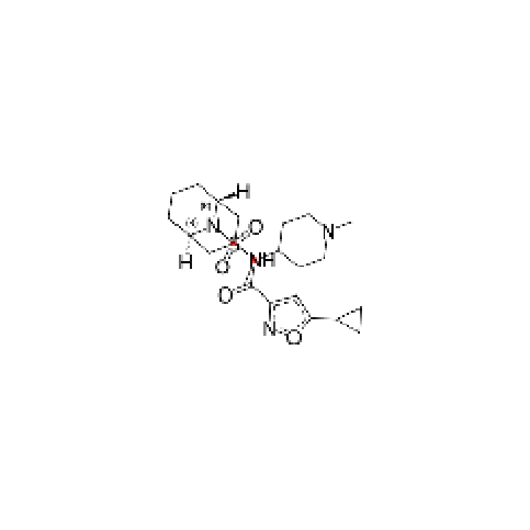 CN1CCC(N(C)S(=O)(=O)N2[C@@H]3CCC[C@@H]2CC(NC(=O)c2cc(C4CC4)on2)C3)CC1